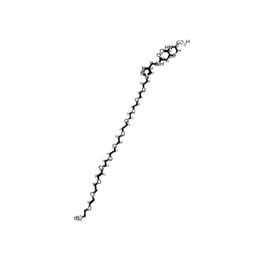 CC(C)(C)CCOCCOCCOCCOCCOCCOCCOCCOCCOCCOCCOCCn1cc(CNC(=O)CC2SCC(C(=O)O)NC2=O)nn1